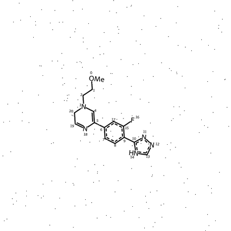 COCCN1C=C(c2ccc(-c3nnc[nH]3)c(F)c2)N=CC1